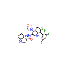 O=C(Nc1cnc2c(-c3cc(F)cc(F)c3F)c(F)ccc2c1N1CCOCC1)c1ccnc2ccccc12